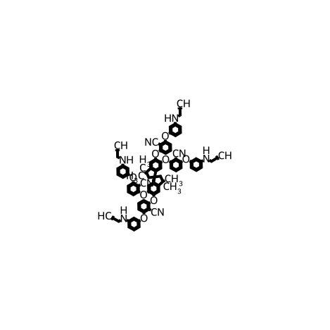 C#CCNc1cccc(Oc2cccc(Oc3cc4c(cc3Oc3cccc(Oc5cccc(NCC#C)c5)c3C#N)C3(CC4(C)C)CC(C)(C)c4cc(Oc5cccc(Oc6cccc(NCC#C)c6)c5C#N)c(Oc5cccc(Oc6cccc(NCC#C)c6)c5C#N)cc43)c2C#N)c1